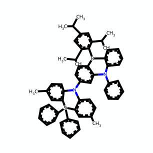 Cc1ccc2c(c1)[Si](c1ccccc1)(c1ccccc1)c1cc(C)ccc1N2c1ccc2c(c1)N(c1ccccc1)c1ccccc1B2c1c(C(C)C)cc(C(C)C)cc1C(C)C